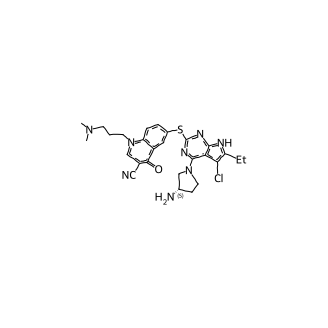 CCc1[nH]c2nc(Sc3ccc4c(c3)c(=O)c(C#N)cn4CCCN(C)C)nc(N3CC[C@H](N)C3)c2c1Cl